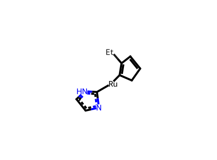 CCC1=[C]([Ru][c]2ncc[nH]2)CC=C1